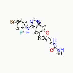 CCNC(=O)NCCCOc1cc2ncnc(Nc3ccc(Br)cc3F)c2cc1[N+](=O)[O-]